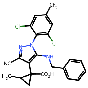 CC1CC1(C(=O)O)c1c(C#N)nn(-c2c(Cl)cc(C(F)(F)F)cc2Cl)c1NCc1ccccc1